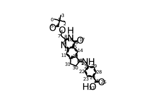 CC(C)(C)C(=O)OCc1nc2cc3c(cc2c(=O)[nH]1)[C@@H](Nc1ccc(C(=O)O)cc1)CC3